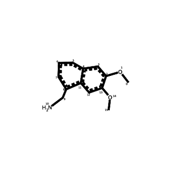 COc1cc2cccc(CN)c2cc1OC